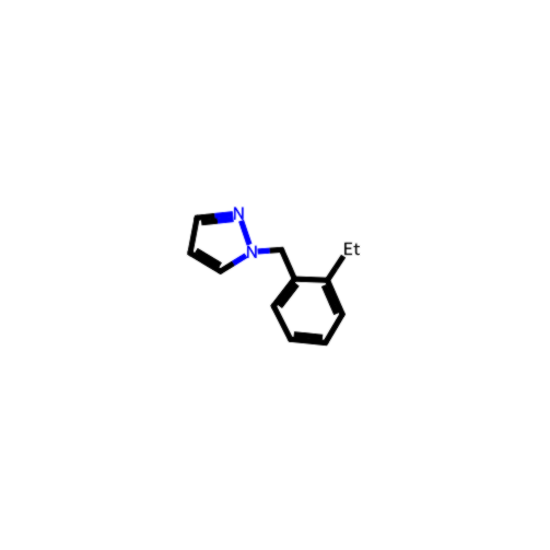 CCc1ccccc1Cn1cccn1